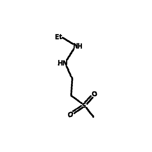 CCNNCCS(C)(=O)=O